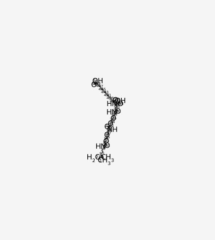 C=C(C)[C@@H](C)CCCCNC(=O)COCCOCCNC(=O)COCCOCCNC(=O)CC[C@H](NC(=O)CCCCCCCCCCCCC(=O)O)C(=O)O